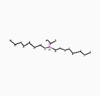 CCC.CCCCCCCCPCCCCCCCC